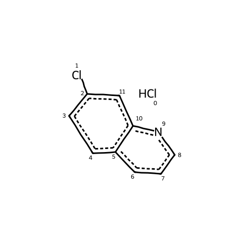 Cl.Clc1ccc2cccnc2c1